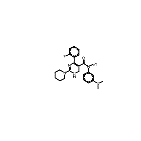 CC(C)N(C(=O)C1=C(c2ccccc2F)N=C(N2CCCCC2)NC1)c1cccc(N(C)C)c1